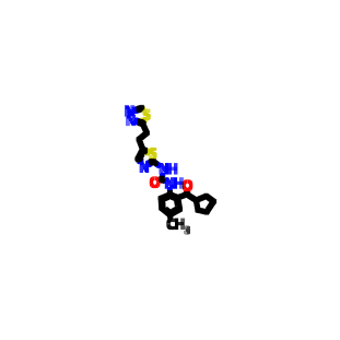 Cc1ccc(NC(=O)Nc2ncc(CCc3nncs3)s2)c(C(=O)C2CCCC2)c1